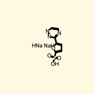 O=S(=O)(O)c1ccc(-c2nccnn2)o1.[NaH].[NaH]